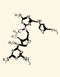 Cc1cc(Nc2nc(N)nc(N(C)Cc3occ(N(C)c4nc(N)nc(N)n4)c3C)n2)co1